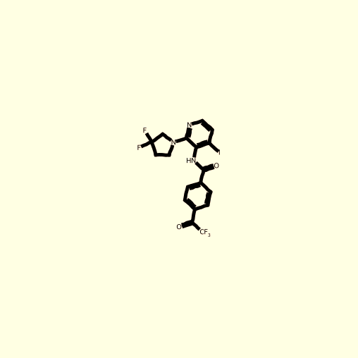 O=C(Nc1c(I)ccnc1N1CCC(F)(F)C1)c1ccc(C(=O)C(F)(F)F)cc1